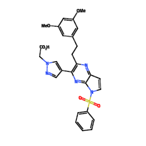 COc1cc(CCc2nc3ccn(S(=O)(=O)c4ccccc4)c3nc2-c2cnn(CC(=O)O)c2)cc(OC)c1